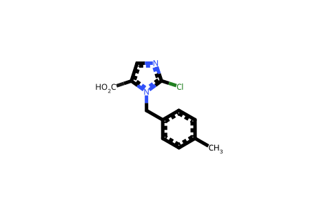 Cc1ccc(Cn2c(C(=O)O)cnc2Cl)cc1